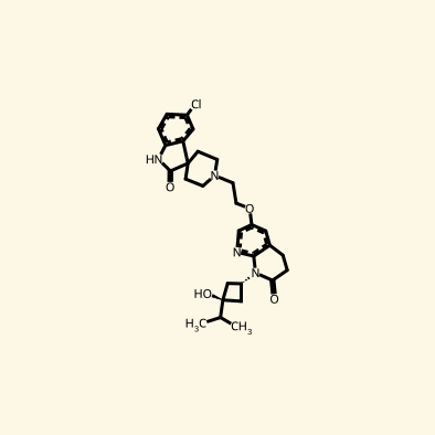 CC(C)[C@]1(O)C[C@H](N2C(=O)CCc3cc(OCCN4CCC5(CC4)C(=O)Nc4ccc(Cl)cc45)cnc32)C1